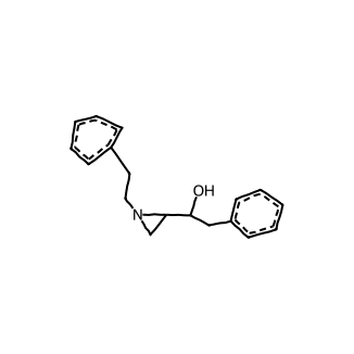 OC(Cc1ccccc1)C1CN1CCc1ccccc1